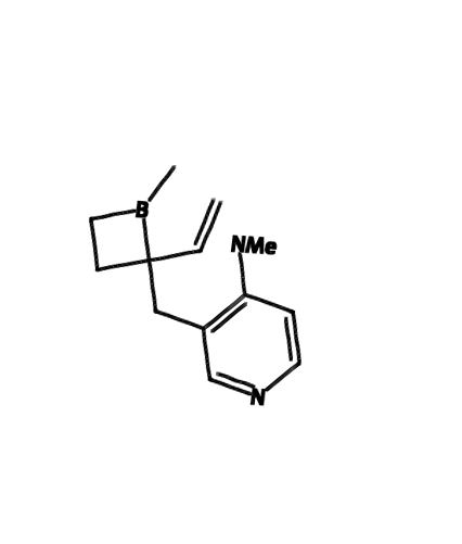 C=CC1(Cc2cnccc2NC)CCB1C